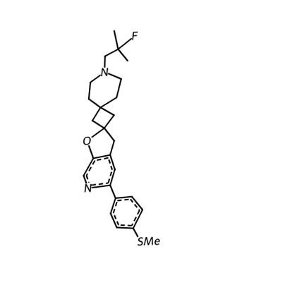 CSc1ccc(-c2cc3c(cn2)OC2(C3)CC3(CCN(CC(C)(C)F)CC3)C2)cc1